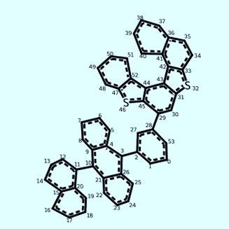 c1cc(-c2c3ccccc3c(-c3cccc4ccccc34)c3ccccc23)cc(-c2cc3sc4ccc5ccccc5c4c3c3c2sc2ccccc23)c1